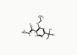 CCSc1cc(C(F)(F)F)cnc1/C(Cl)=N/O